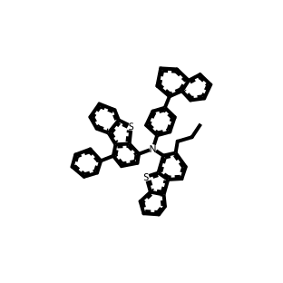 CCCc1ccc2c(sc3ccccc32)c1N(c1ccc(-c2cccc3ccccc23)cc1)c1ccc(-c2ccccc2)c2c1sc1ccccc12